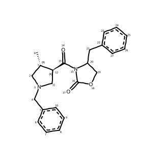 C[C@H]1CN(Cc2ccccc2)C[C@@H]1C(=O)N1C(=O)OCC1Cc1ccccc1